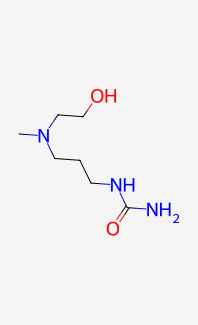 CN(CCO)CCCNC(N)=O